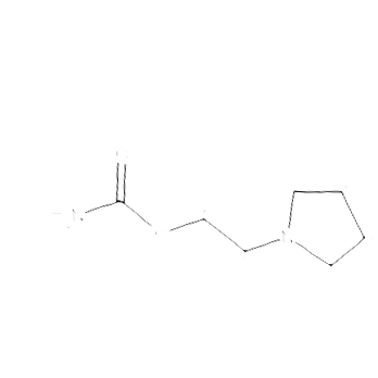 NC(=O)OCCN1CCCC1